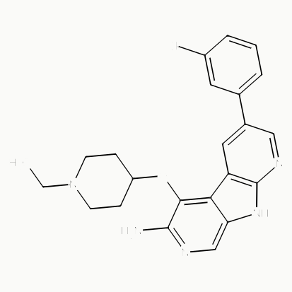 CCN1CCC(Oc2c(N)ncc3[nH]c4ncc(-c5cccc(Cl)c5)cc4c23)CC1